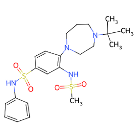 CC(C)(C)N1CCCN(c2ccc(S(=O)(=O)Nc3ccccc3)cc2NS(C)(=O)=O)CC1